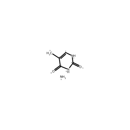 Cc1c[nH]c(=O)[nH]c1=O.N